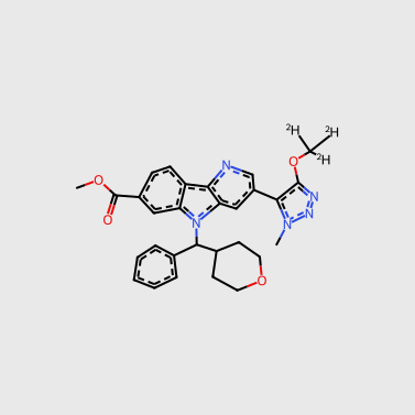 [2H]C([2H])([2H])Oc1nnn(C)c1-c1cnc2c3ccc(C(=O)OC)cc3n(C(c3ccccc3)C3CCOCC3)c2c1